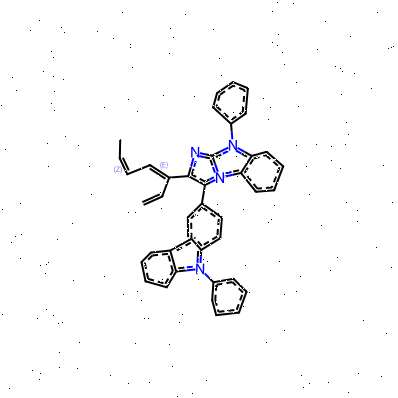 C=C/C(=C\C=C/C)c1nc2n(-c3ccccc3)c3ccccc3n2c1-c1ccc2c(c1)c1ccccc1n2-c1ccccc1